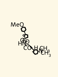 COc1ccc(-c2ccc(S(=O)(=O)NC(CC#Cc3cccc(N(C)C)c3)C(=O)O)s2)cc1